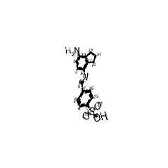 Nc1ccc(N=Nc2ccc(S(=O)(=O)O)cc2)c2c1CCC2